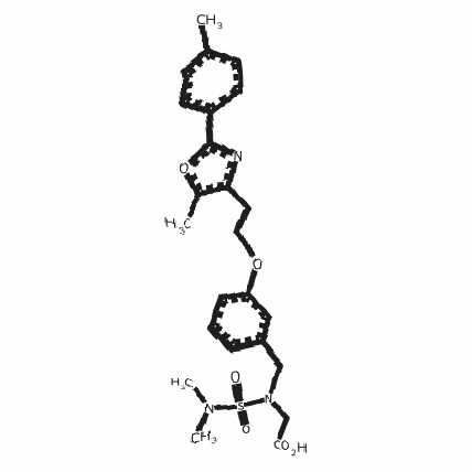 Cc1ccc(-c2nc(CCOc3cccc(CN(CC(=O)O)S(=O)(=O)N(C)C)c3)c(C)o2)cc1